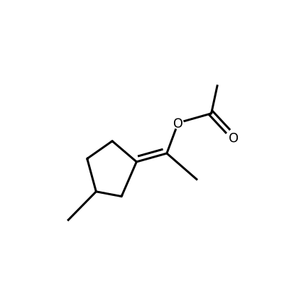 CC(=O)OC(C)=C1CCC(C)C1